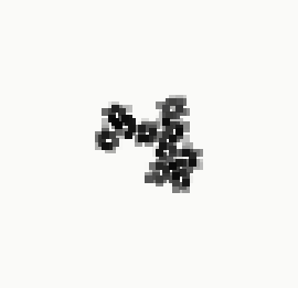 c1ccc(-c2nc(-c3ccc(-n4c5ccc(C(c6ccccc6)(c6ccccc6)c6ccccc6)cc5c5ccc6c7ccccc7oc6c54)cc3)nc3ccccc23)cc1